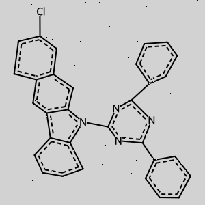 Clc1ccc2cc3c4ccccc4n(-c4nc(-c5ccccc5)nc(-c5ccccc5)n4)c3cc2c1